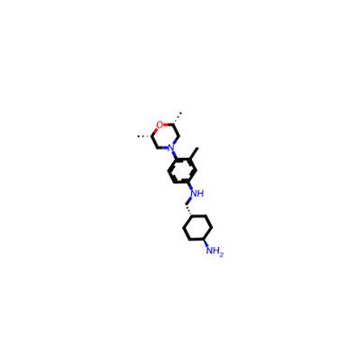 Cc1cc(NC[C@H]2CC[C@H](N)CC2)ccc1N1C[C@@H](C)O[C@@H](C)C1